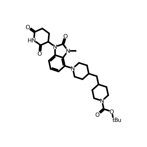 Cn1c(=O)n(C2CCC(=O)NC2=O)c2cccc(N3CCC(CC4CCN(C(=O)OC(C)(C)C)CC4)CC3)c21